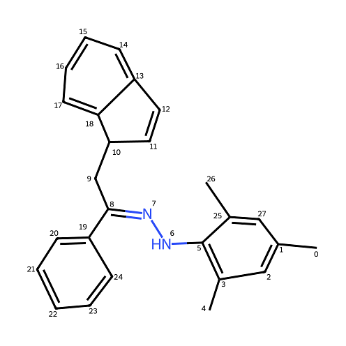 Cc1cc(C)c(NN=C(CC2C=Cc3ccccc32)c2ccccc2)c(C)c1